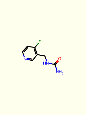 NC(=O)NCc1cnccc1F